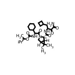 CC(C)[C@@H](C)OC(=O)N[C@H](C(=O)N1C[C@@H]2[C@H]([C@H]1C(=O)NC(CC1CCC1)C(=O)C(N)=O)C2(C)C)C1CCCCC1